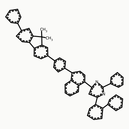 CC1(C)c2cc(-c3ccccc3)ccc2-c2ccc(-c3ccc(-c4ccc(-c5cc(-c6ccccc6-c6ccccc6)nc(-c6ccccc6)n5)c5ccccc45)cc3)cc21